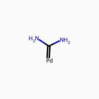 N[C](N)=[Pd]